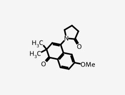 COc1ccc2c(c1)C(N1CCCC1=O)=CC(C)(C)C2=O